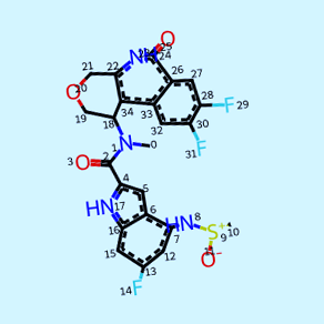 CN(C(=O)c1cc2c(N[S@@+](C)[O-])cc(F)cc2[nH]1)C1COCc2[nH]c(=O)c3cc(F)c(F)cc3c21